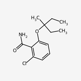 CCC(C)(CC)Oc1cccc(Cl)c1C(N)=O